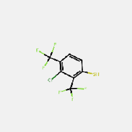 FC(F)(F)c1ccc(S)c(C(F)(F)F)c1Cl